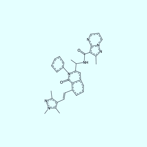 Cc1nn(C)c(C)c1/C=C/c1cccc2cc(C(C)NC(=O)c3c(C)nn4cccnc34)n(-c3ccccc3)c(=O)c12